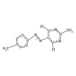 Cc1ccc(/N=N/c2c(Cl)nc(C)nc2Cl)cc1